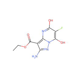 CCOC(=O)c1c(N)nn2c(O)c(F)c(O)nc12